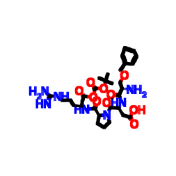 CC(C)(C)OC(=O)OC(=O)[C@H](CCCNC(=N)N)NC(=O)[C@@H]1CCCN1C(=O)[C@H](CC(=O)O)NC(=O)[C@@H](N)COCc1ccccc1